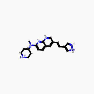 CN(c1ccc2cc(C=Cc3cn[nH]c3)cnc2n1)C1CCNCC1